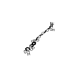 [N-]=[N+]=NCC(O)COCCOCCOCC(=O)Nc1ccc2c(c1)CN(C1CCC(=O)NC1=O)C2=O